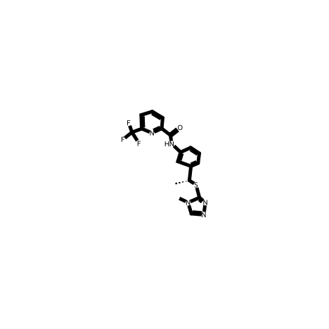 C[C@@H](Sc1nncn1C)c1cccc(NC(=O)c2cccc(C(F)(F)F)n2)c1